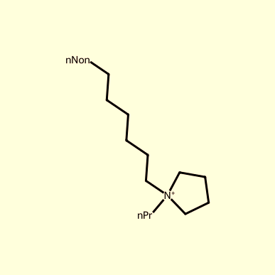 CCCCCCCCCCCCCCC[N+]1(CCC)CCCC1